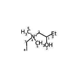 CCC(O)C[N+](C)(C)CI